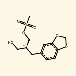 CS(=O)(=O)OC[C@H](CO)Cc1ccc2c(c1)OCO2